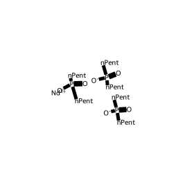 CCCCCP(=O)([O-])CCCCC.CCCCCP(=O)([O-])CCCCC.CCCCCP(=O)([O-])CCCCC.[Nd+3]